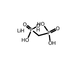 O=P(O)(O)CP(=O)(O)O.[LiH]